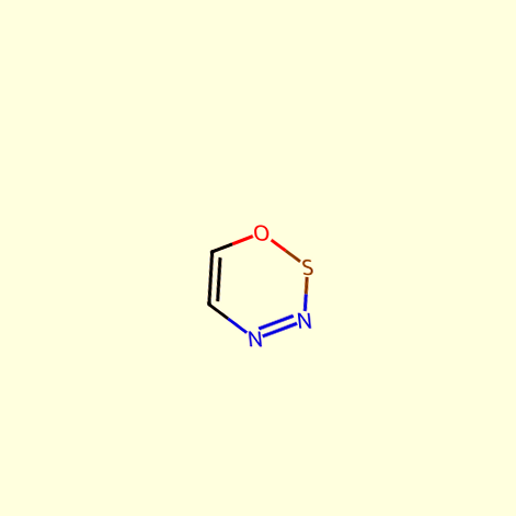 C1=COSN=N1